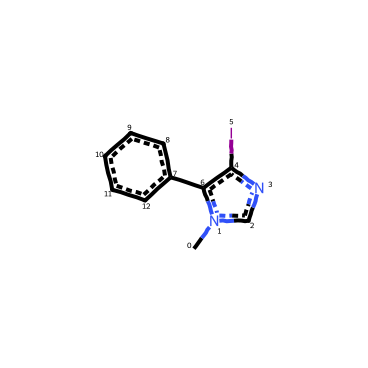 Cn1cnc(I)c1-c1ccccc1